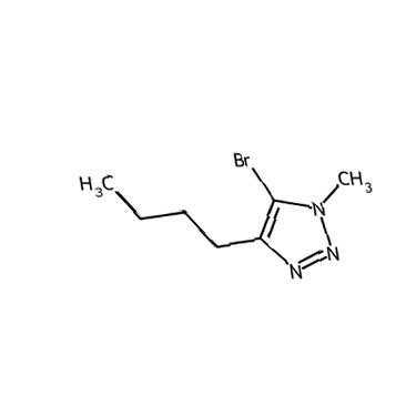 CCCCc1nnn(C)c1Br